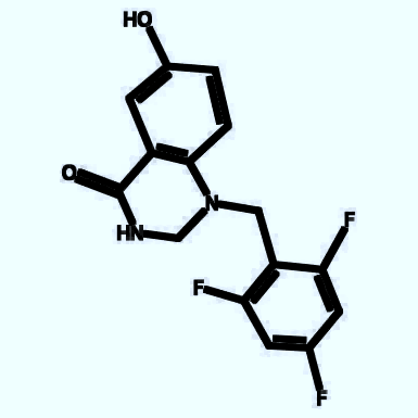 O=C1NCN(Cc2c(F)cc(F)cc2F)c2ccc(O)cc21